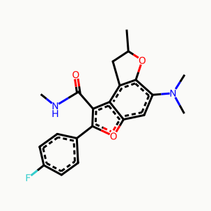 CNC(=O)c1c(-c2ccc(F)cc2)oc2cc(N(C)C)c3c(c12)CC(C)O3